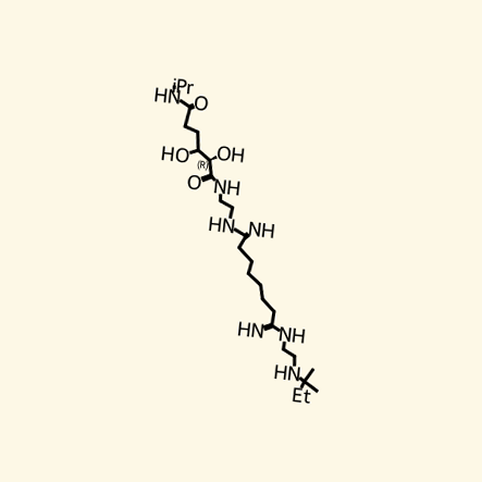 CCC(C)(C)NCCNC(=N)CCCCCCC(=N)NCCNC(=O)[C@H](O)C(O)CCC(=O)NC(C)C